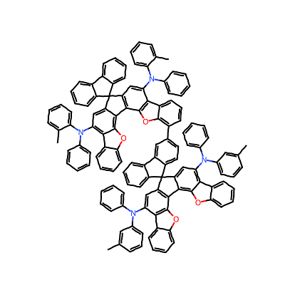 Cc1cccc(N(c2ccccc2)c2cc3c(c4oc5ccccc5c24)-c2c(cc(N(c4ccccc4)c4cccc(C)c4)c4c2oc2ccccc24)C32c3ccccc3-c3cc(-c4cccc5c4oc4c6c(cc(N(c7ccccc7)c7ccccc7C)c45)C4(c5ccccc5-c5ccccc54)c4cc(N(c5ccccc5)c5ccccc5C)c5c(oc7ccccc75)c4-6)ccc32)c1